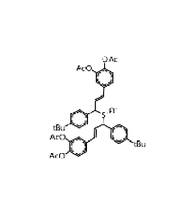 CC(=O)Oc1ccc(/C=C/C(c2ccc(C(C)(C)C)cc2)[S+]([O-])C(/C=C/c2ccc(OC(C)=O)c(OC(C)=O)c2)c2ccc(C(C)(C)C)cc2)cc1OC(C)=O